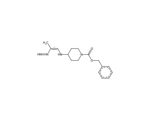 C/C(=C/NC1CCN(C(=O)OCc2ccccc2)CC1)N=N